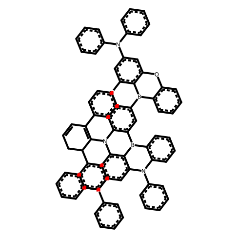 C1=CC(c2ccccc2)=C(N2c3cc4c(cc3B3c5ccccc5N(c5ccccc5)c5cc(N(c6ccccc6)c6ccccc6)cc2c53)B2c3ccccc3Oc3cc(N(c5ccccc5)c5ccccc5)cc(c32)O4)C(c2ccccc2)C1